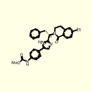 CCc1ccc2c(c1)CCN([C@@H](Cc1ccccc1)c1ncc(-c3ccc(NC(=O)OC)cc3)[nH]1)C2=O